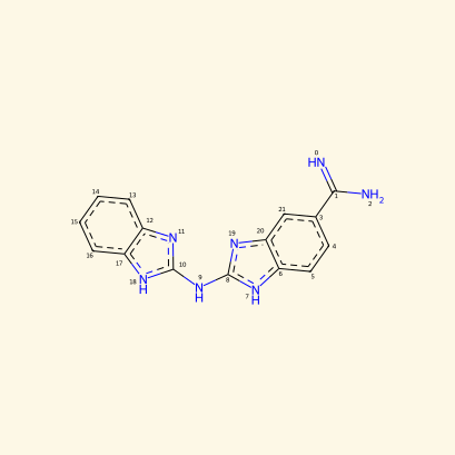 N=C(N)c1ccc2[nH]c(Nc3nc4ccccc4[nH]3)nc2c1